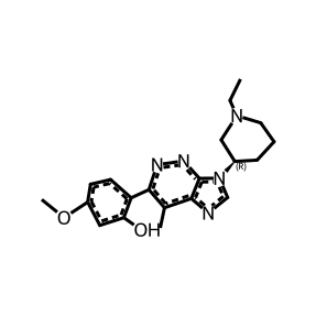 CCN1CCC[C@@H](n2cnc3c(C)c(-c4ccc(OC)cc4O)nnc32)C1